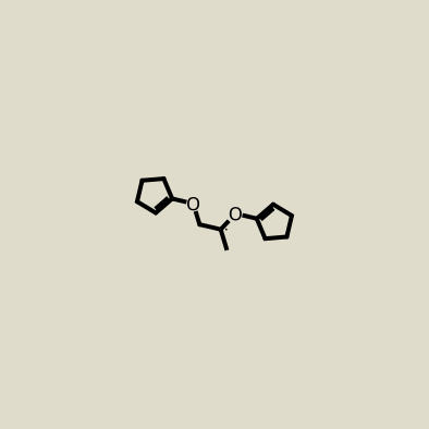 C[C](COC1=CCCC1)OC1=CCCC1